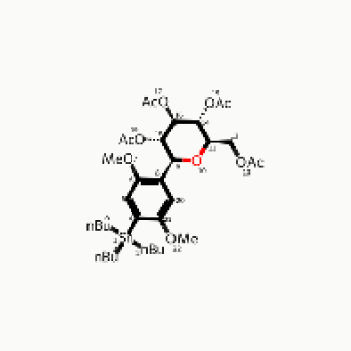 CCC[CH2][Sn]([CH2]CCC)([CH2]CCC)[c]1cc(OC)c([C@@H]2O[C@H](COC(C)=O)[C@@H](OC(C)=O)[C@H](OC(C)=O)[C@H]2OC(C)=O)cc1OC